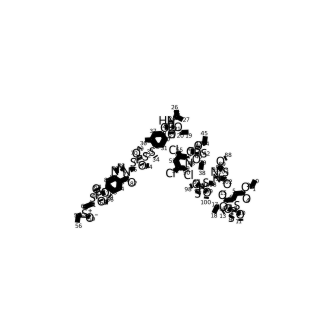 CCOC(=O)CC(SP(=S)(OC)OC)C(=O)OCC.CCOP(=O)(NC(C)C)Oc1ccc(SC)c(C)c1.CCOP(=S)(OCC)Oc1nc(Cl)c(Cl)cc1Cl.CC[S+]([O-])CCSP(=O)(OC)OC.COP(=S)(OC)SCn1nnc2ccccc2c1=O.COc1nn(CSP(=S)(OC)OC)c(=O)s1